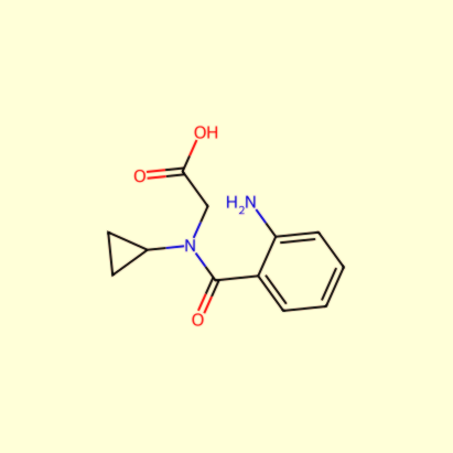 Nc1ccccc1C(=O)N(CC(=O)O)C1CC1